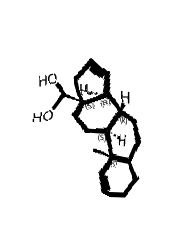 C[C@]12C=CCCC1CC[C@H]1[C@@H]3C=CC[C@@]3(C(O)O)CC[C@@H]12